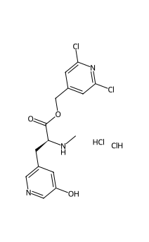 CN[C@@H](Cc1cncc(O)c1)C(=O)OCc1cc(Cl)nc(Cl)c1.Cl.Cl